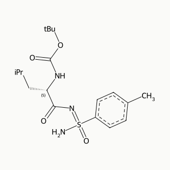 Cc1ccc(S(N)(=O)=NC(=O)[C@H](CC(C)C)NC(=O)OC(C)(C)C)cc1